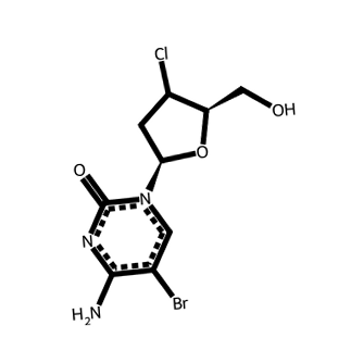 Nc1nc(=O)n([C@H]2CC(Cl)[C@@H](CO)O2)cc1Br